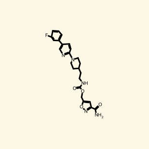 NC(=O)c1cc(COC(=O)NCCC2CCN(c3ccc(-c4cccc(F)c4)cn3)CC2)on1